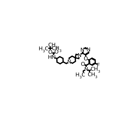 CCN(C(=O)c1cc(F)ccc1Oc1cncnc1N1CC2(CCN(CC3CCC(NC(=O)OC(C)(C)C)CC3)CC2)C1)C(C)C